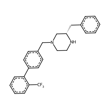 FC(F)(F)c1ccccc1-c1ccc(CN2CCN[C@@H](Cc3ccccc3)C2)cc1